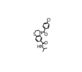 CC(C)NC(=O)c1ccc2c(c1)N(C(=O)c1ccc(Cl)cc1)CCS2